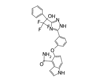 NC(=O)c1c(Oc2cccc(-c3nc(C(O)(c4ccccc4)C(F)(F)F)n[nH]3)c2)ccc2[nH]ccc12